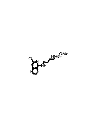 COBNCCCCNc1nc(Cl)cc2nccnc12